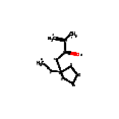 C=C(C)C(=O)CC1(CC)CCCC1